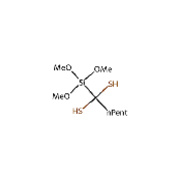 [CH2]CCCCC(S)(S)[Si](OC)(OC)OC